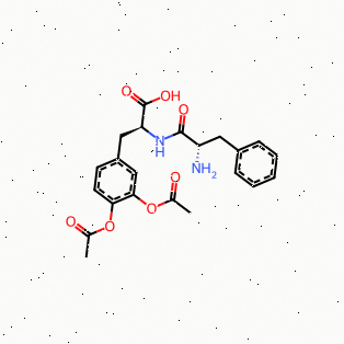 CC(=O)Oc1ccc(C[C@H](NC(=O)[C@@H](N)Cc2ccccc2)C(=O)O)cc1OC(C)=O